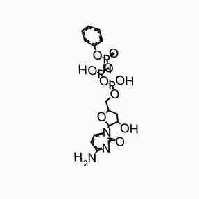 Nc1ccn(C2OC(COP(O)OP(O)O[PH](=O)Oc3ccccc3)CC2O)c(=O)n1